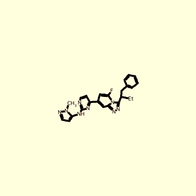 CCC(Cc1ccccc1)c1nnc2cc(-c3ccnc(Nc4ccnn4C)n3)cc(F)n12